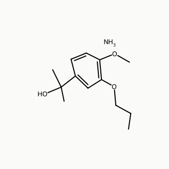 CCCOc1cc(C(C)(C)O)ccc1OC.N